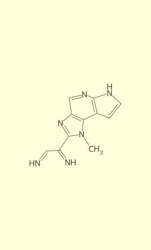 Cn1c(C(=N)C=N)nc2cnc3[nH]ccc3c21